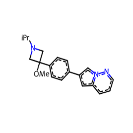 COC1(c2ccc(-c3cc4cccnn4c3)cc2)CN(C(C)C)C1